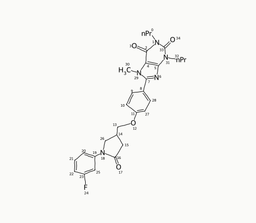 CCCn1c(=O)c2c(nc(-c3ccc(OCC4CC(=O)N(c5cccc(F)c5)C4)cc3)n2C)n(CCC)c1=O